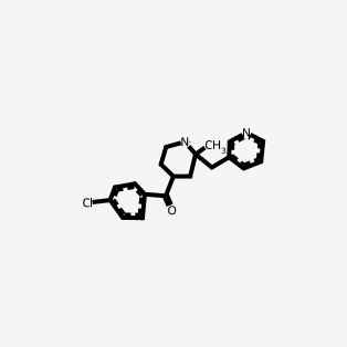 CC1(Cc2cccnc2)CC(C(=O)c2ccc(Cl)cc2)CC[N]1